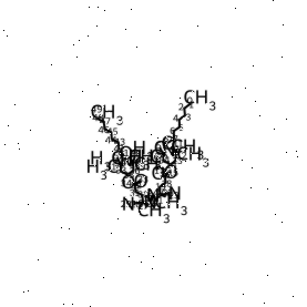 CCCCCCCCON1C(C)(C)CC(OC(=O)CCC(C)(C#N)N=NC(C)(C#N)CCC(=O)OC2CC(C)(C)N(OCCCCCCCC)C(C)(C)C2)CC1(C)C